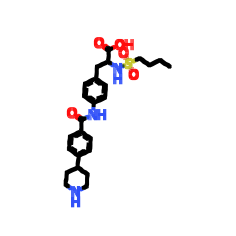 CCCCS(=O)(=O)NC(Cc1ccc(NC(=O)c2ccc(C3CCNCC3)cc2)cc1)C(=O)O